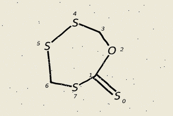 S=C1OCSSCS1